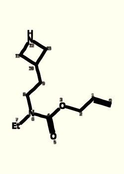 C=CCOC(=O)N(CC)CCC1CNC1